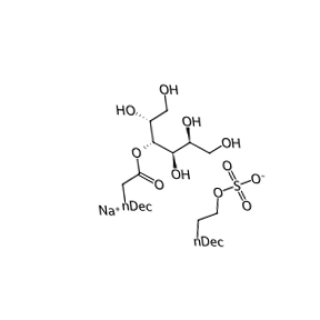 CCCCCCCCCCCC(=O)O[C@@H]([C@H](O)[C@@H](O)CO)[C@H](O)CO.CCCCCCCCCCCCOS(=O)(=O)[O-].[Na+]